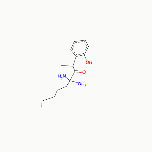 CCCCCC(N)(N)C(=O)C(C)c1ccccc1O